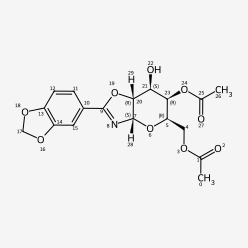 CC(=O)OC[C@H]1O[C@@H]2N=C(c3ccc4c(c3)OCO4)O[C@@H]2[C@@H](O)[C@H]1OC(C)=O